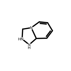 C1=CC2NNCN2C=C1